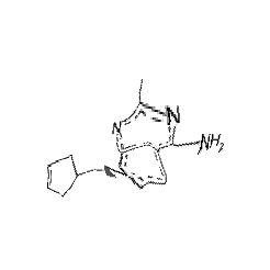 Cc1nc(N)c2ccn(C3CC=CC3)c2n1